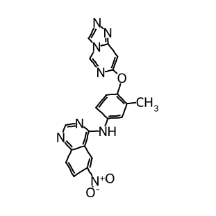 Cc1cc(Nc2ncnc3ccc([N+](=O)[O-])cc23)ccc1Oc1cc2nncn2cn1